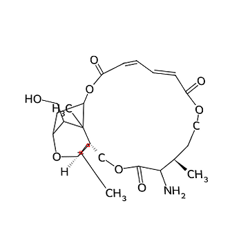 CC1=C[C@H]2OC3CC4OC(=O)/C=C\C=C\C(=O)OCC[C@@H](C)C(N)C(=O)OC[C@@]2(CC1)C4(C)C3CO